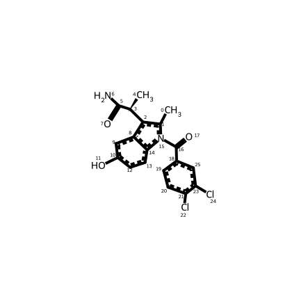 Cc1c([C@H](C)C(N)=O)c2cc(O)ccc2n1C(=O)c1ccc(Cl)c(Cl)c1